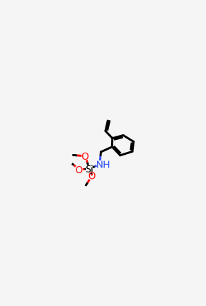 C=Cc1ccccc1CN[Si](OC)(OC)OC